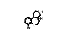 Brc1cccc2c1OCC[C@H]1CNCCN21